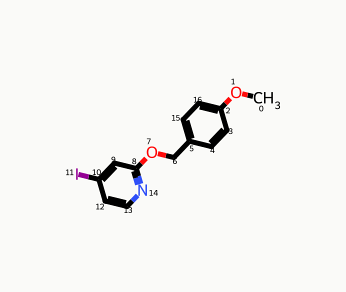 COc1ccc(COc2cc(I)ccn2)cc1